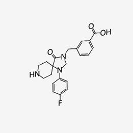 O=C(O)c1cccc(CN2CN(c3ccc(F)cc3)C3(CCNCC3)C2=O)c1